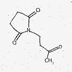 CC(=O)CCN1C(=O)CCC1=O